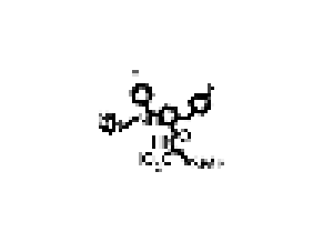 CSCC[C@H](NC(=O)c1cc(C(NCCn2ccnc2)c2ccc(F)cc2)ccc1Cc1ccc(F)cc1)C(=O)O